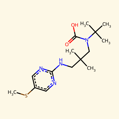 CSc1cnc(NCC(C)(C)CN(C(=O)O)C(C)(C)C)nc1